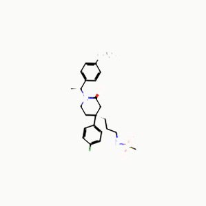 COc1ccc([C@H](C)N2CC[C@@](CCCNS(C)(=O)=O)(c3ccc(F)cc3)CC2=O)cc1